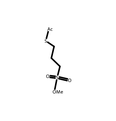 COS(=O)(=O)CCCSC(C)=O